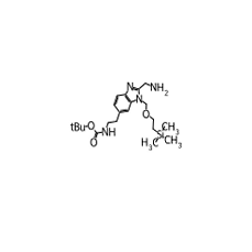 CC(C)(C)OC(=O)NCCc1ccc2nc(CN)n(COCC[Si](C)(C)C)c2c1